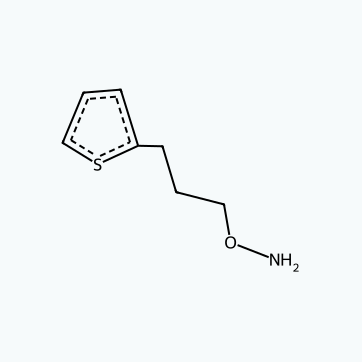 NOCCCc1cccs1